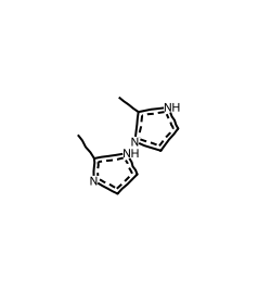 Cc1ncc[nH]1.Cc1ncc[nH]1